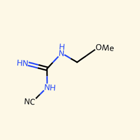 COCNC(=N)NC#N